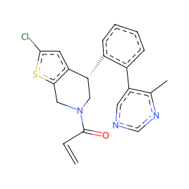 C=CC(=O)N1Cc2sc(Cl)cc2[C@H](c2ccccc2-c2cncnc2C)C1